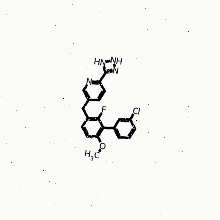 COc1ccc(Cc2ccc(-c3n[nH][nH]3)nc2)c(F)c1-c1cccc(Cl)c1